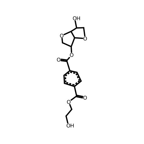 O=C(OCCO)c1ccc(C(=O)OC2COC3C(O)COC23)cc1